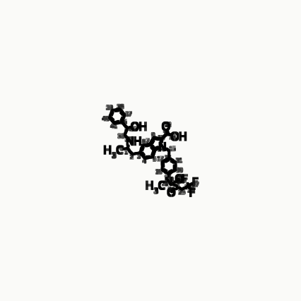 CC(Cc1ccc2c(c1)cc(C(=O)O)n2Cc1ccc(N(C)S(=O)(=O)CC(F)(F)F)cc1)NCC(O)c1ccccc1